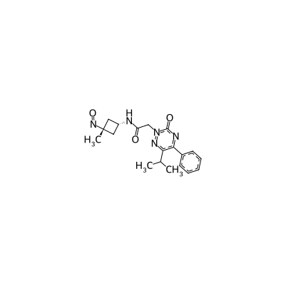 CC(C)c1nn(CC(=O)N[C@H]2C[C@@](C)(N=O)C2)c(=O)nc1-c1ccccc1